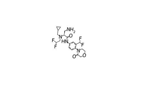 NC[C@@H](C(=O)Nc1ccc(N2CCOCC2=O)c(C(F)F)c1)N(CC(F)F)CC1CC1